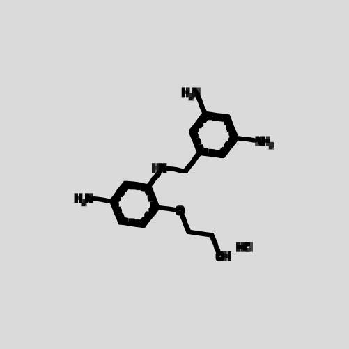 Cl.Nc1cc(N)cc(CNc2cc(N)ccc2OCCO)c1